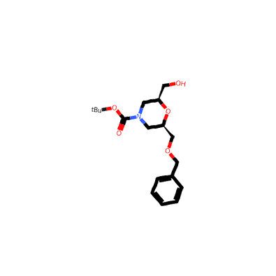 CC(C)(C)OC(=O)N1C[C@@H](CO)O[C@@H](COCc2ccccc2)C1